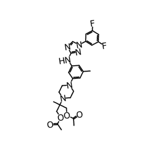 CC(=O)OCC(C)(COC(C)=O)N1CCN(c2cc(C)cc(Nc3ncn(-c4cc(F)cc(F)c4)n3)c2)CC1